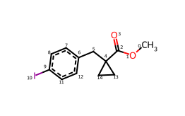 COC(=O)C1(Cc2ccc(I)cc2)CC1